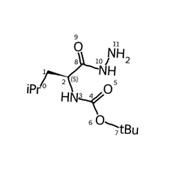 CC(C)C[C@H](NC(=O)OC(C)(C)C)C(=O)NN